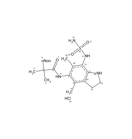 CCCCCCCCCC(C)(C)C(=O)Nc1c(C)c2c(c(NS(N)(=O)=O)c1C)NCC2.Cl